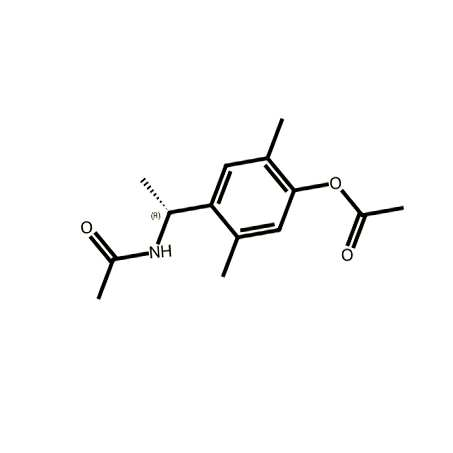 CC(=O)N[C@H](C)c1cc(C)c(OC(C)=O)cc1C